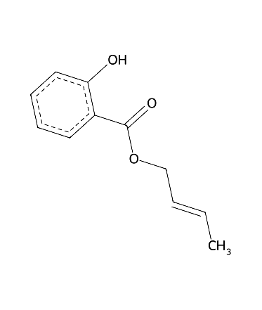 CC=CCOC(=O)c1ccccc1O